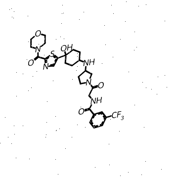 O=C(NCC(=O)N1CCC(NC2CCC(O)(c3cnc(C(=O)N4CCOCC4)s3)CC2)C1)c1cccc(C(F)(F)F)c1